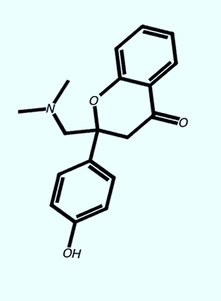 CN(C)CC1(c2ccc(O)cc2)CC(=O)c2ccccc2O1